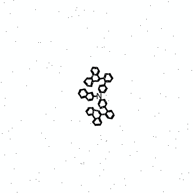 c1ccc(-c2cc3ccccc3c3ccccc23)c(-c2ccc(N(c3ccc(-c4ccccc4-c4cc5ccccc5c5ccccc45)cc3)c3ccc4ccccc4c3)cc2)c1